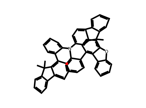 CC1(C)c2ccccc2-c2ccc(N(c3ccccc3-c3cccc4c3C(C)(C)c3ccccc3-4)c3ccccc3-c3cccc4oc5ccccc5c34)cc21